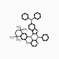 CC1(C)CCC(C)(C)c2cc3c(cc21)Oc1ccnc2c1B3c1c(sc3cc(N(c4ccccc4)c4ccccc4)ccc13)N2c1ccccc1